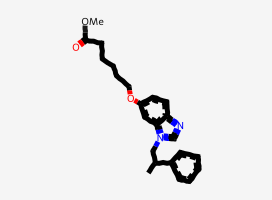 COC(=O)CCCCCOc1ccc2ncn(CC(C)c3ccccc3)c2c1